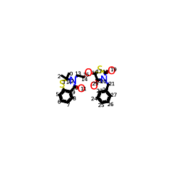 CC1(C)Sc2ccccc2C(=O)N1CCOC1SC(=O)N(Cc2ccccc2)C1=O